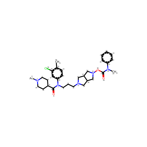 CC(=O)N1CCC(C(=O)N(CCCN2CC3CN(OC(=O)N(C)c4ccccc4)CC3C2)c2ccc(C)c(Cl)c2)CC1